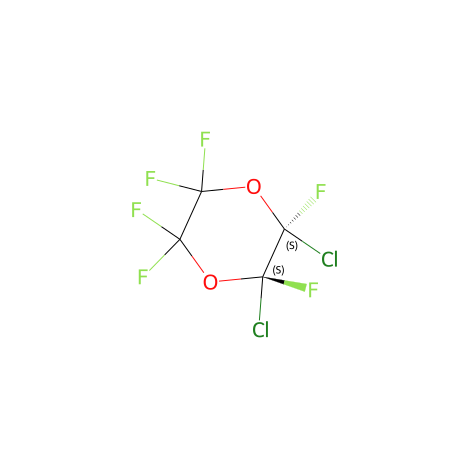 FC1(F)O[C@@](F)(Cl)[C@](F)(Cl)OC1(F)F